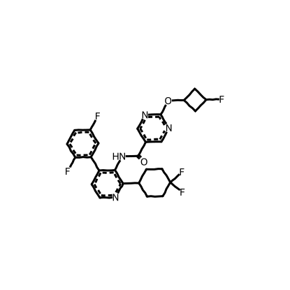 O=C(Nc1c(-c2cc(F)ccc2F)ccnc1C1CCC(F)(F)CC1)c1cnc(OC2CC(F)C2)nc1